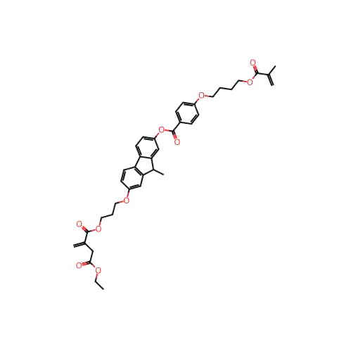 C=C(C)C(=O)OCCCCOc1ccc(C(=O)Oc2ccc3c(c2)C(C)c2cc(OCCCOC(=O)C(=C)CC(=O)OCC)ccc2-3)cc1